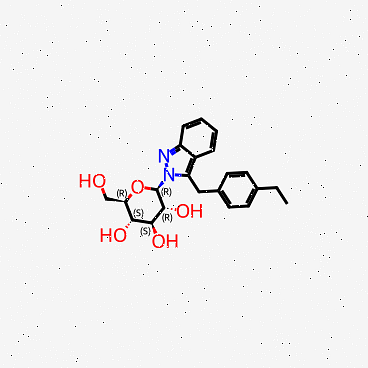 CCc1ccc(Cc2c3ccccc3nn2[C@@H]2O[C@H](CO)[C@@H](O)[C@H](O)[C@H]2O)cc1